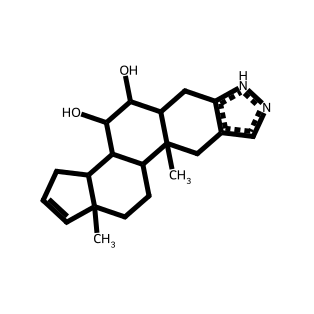 CC12C=CCC1C1C(O)C(O)C3Cc4[nH]ncc4CC3(C)C1CC2